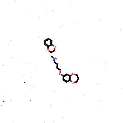 c1ccc2c(c1)OC[C@H](CNCCCCOc1ccc3c(c1)OCCCO3)O2